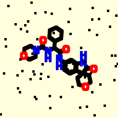 O=C(Nc1ccc2c(c1)NC(=O)C21CCOCC1)C(NC(=O)N1CCOCC1)C1CCCCC1